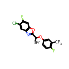 CCCC(Oc1ccc(F)c(C(F)(F)F)c1)c1nc2cc(Cl)c(F)cc2o1